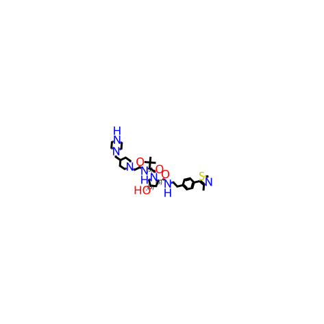 Cc1ncsc1-c1ccc(CCNC(=O)[C@@H]2C[C@H](O)CN2C(=O)[C@@H](NC(=O)CN2CCC(CN3CCNCC3)CC2)C(C)(C)C)cc1